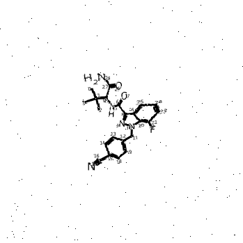 CC(C)(C)[C@H](NC(=O)c1nn(Cc2ccc(C#N)cc2)c2c(F)cccc12)C(N)=O